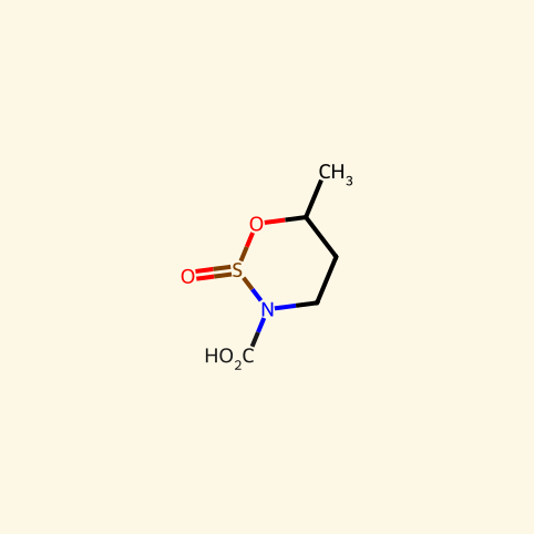 CC1CCN(C(=O)O)S(=O)O1